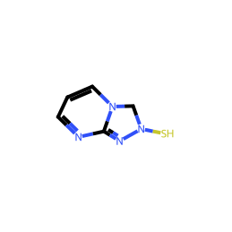 SN1CN2C=CC=NC2=N1